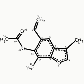 C=Cc1cc2c(C)coc2c(C)c1OC(C)=O